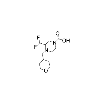 O=C(O)N1CCN(CC2CCOCC2)C(C(F)F)C1